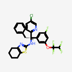 Fc1cc(OC(F)(F)C(F)F)cc([C@@](Cc2ccccc2)(Nc2nc3c(s2)CCCC3)c2ccc(Cl)cn2)c1